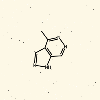 Cc1nncc2[nH]ncc12